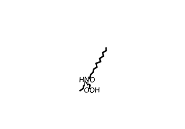 CCCCCCCCCCCC(=O)NN(CCC)CC(=O)O